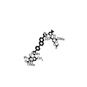 CC[C@@H]1C[C@H](C)[C@@H](c2ncc(-c3ccc(-c4ccc5cc(-c6cnc([C@@H]7CC8(CC8)CN7C(=O)[C@H](CCOC(F)F)NC(=O)OC)[nH]6)ccc5c4)cc3)[nH]2)N1C(=O)[C@@H](NC(=O)OC)C(C)C